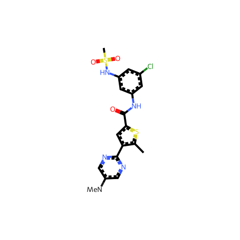 CNc1cnc(-c2cc(C(=O)Nc3cc(Cl)cc(NS(C)(=O)=O)c3)sc2C)nc1